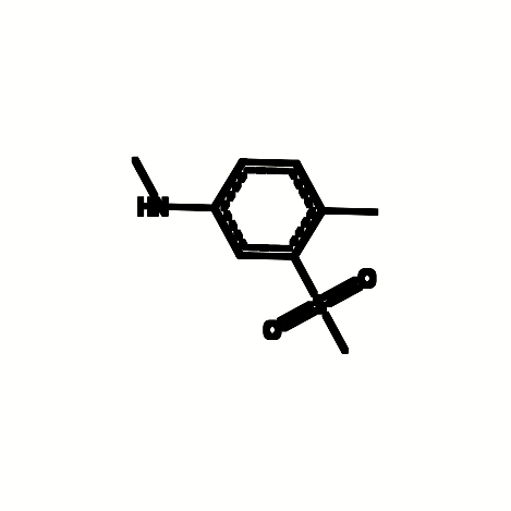 CNc1ccc(C)c(S(C)(=O)=O)c1